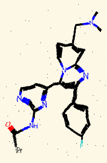 CC(C)C(=O)Nc1nccc(-c2c(-c3ccc(F)cc3)nc3cc(CN(C)C)ccn23)n1